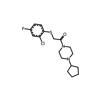 O=C(CSc1ccc(F)cc1Cl)N1CCN(C2CCCC2)CC1